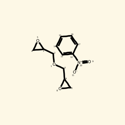 C(OCC1CO1)C1CO1.O=[N+]([O-])c1ccccc1